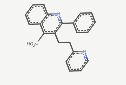 O=C(O)c1c(CCc2ccccn2)c(-c2ccccc2)nc2ccccc12